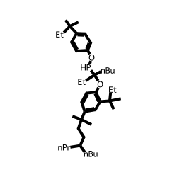 CCCCC(CCC)CCC(C)(C)c1ccc(OC(CC)(CCCC)POc2ccc(C(C)(C)CC)cc2)c(C(C)(C)CC)c1